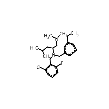 CCc1cccc(CN(Cc2c(F)cccc2Cl)[C@@H](CC(C)C)CN(C)C)c1